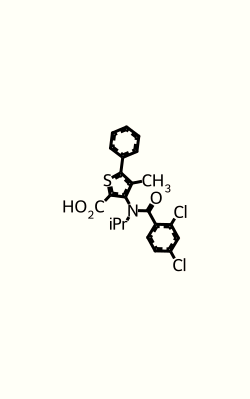 Cc1c(-c2ccccc2)sc(C(=O)O)c1N(C(=O)c1ccc(Cl)cc1Cl)C(C)C